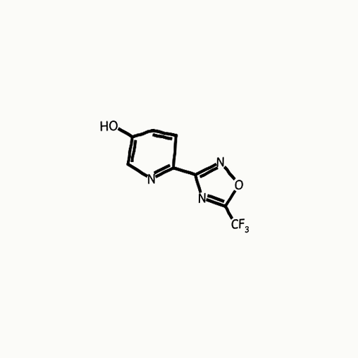 Oc1ccc(-c2noc(C(F)(F)F)n2)nc1